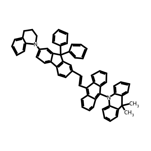 CC1(C)c2ccccc2N(c2c3ccccc3c(/C=C/c3ccc4c(c3)C(c3ccccc3)(c3ccccc3)c3cc(N5CCCc6ccccc65)ccc3-4)c3ccccc23)c2ccccc21